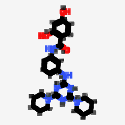 O=C(Nc1cccc(Nc2nc(N3CCCCC3)nc(N3CCCCC3)n2)c1)c1ccc(O)cc1O